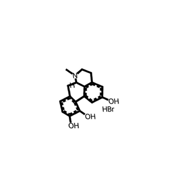 Br.CN1CCc2cc(O)cc3c2[C@H]1Cc1ccc(O)c(O)c1-3